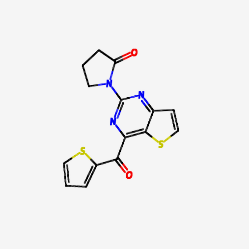 O=C(c1cccs1)c1nc(N2CCCC2=O)nc2ccsc12